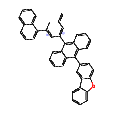 C=C/C=C(\C=C(/C)c1cccc2ccccc12)c1c2ccccc2c(-c2ccc3oc4ccccc4c3c2)c2ccccc12